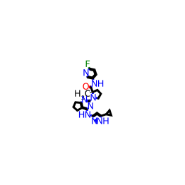 C[C@]1(C(=O)Nc2ccc(F)nc2)CCCN1c1nc2c(c(Nc3cc(C4CC4)[nH]n3)n1)CCC2